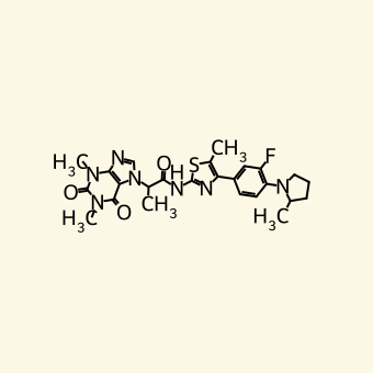 Cc1sc(NC(=O)C(C)n2cnc3c2c(=O)n(C)c(=O)n3C)nc1-c1ccc(N2CCCC2C)c(F)c1